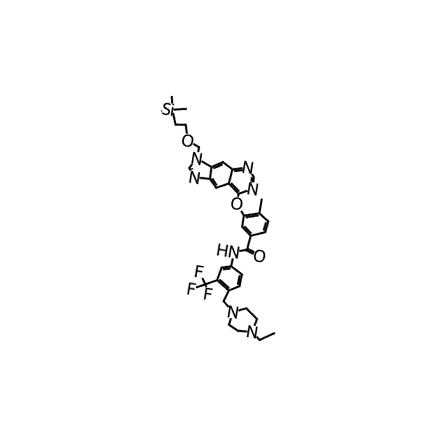 CCN1CCN(Cc2ccc(NC(=O)c3ccc(C)c(Oc4ncnc5cc6c(cc45)ncn6COCC[Si](C)(C)C)c3)cc2C(F)(F)F)CC1